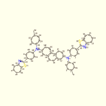 Cc1ccc(N(c2ccc(-c3nc4ccccc4s3)cc2)c2ccc3c(ccc4cc(N(c5ccc(C)cc5)c5ccc(-c6nc7ccccc7s6)cc5)ccc43)c2)cc1